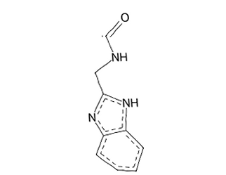 O=[C]NCc1nc2ccccc2[nH]1